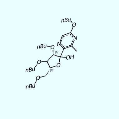 CCCCOC[C@H]1OC(O)(c2ncc(OCCCC)nc2C)[C@@H](OCCCC)C1OCCCC